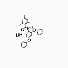 Cc1cc(C)c(C(=O)Pc2ccc(Oc3ccccc3)cc2Oc2ccccc2)c(C)c1.[LiH]